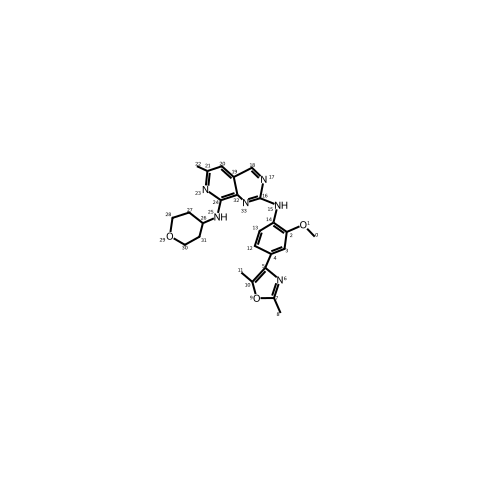 COc1cc(-c2nc(C)oc2C)ccc1Nc1ncc2cc(C)nc(NC3CCOCC3)c2n1